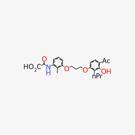 CCCc1c(OCCCOc2cccc(NC(=O)C(=O)O)c2C)ccc(C(C)=O)c1O